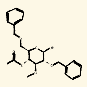 CO[C@H]1[C@H](OC(C)=O)[C@@H](COCc2ccccc2)OC(O)[C@@H]1OCc1ccccc1